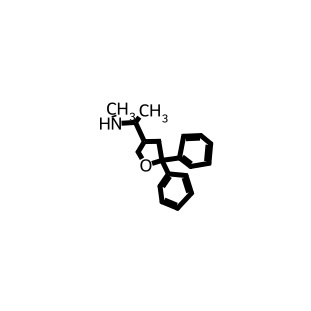 CNC(C)C1COC(c2ccccc2)(c2ccccc2)C1